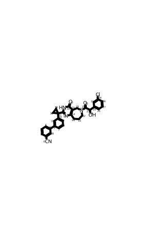 N#Cc1cccc(-c2cccc(C3(c4nc5c(c(=O)[nH]4)CN(C(=O)C(O)c4cccc(Cl)c4)CCC5)CC3)c2)c1